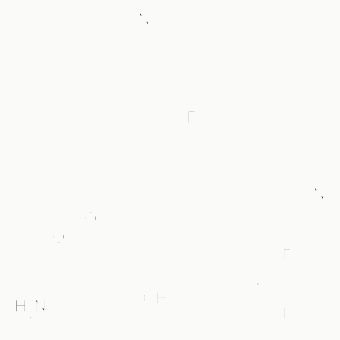 CC(O)(C(N)=O)C(Oc1ccc(C#N)c(F)c1)c1ccc(C#N)c(C(F)(F)F)c1